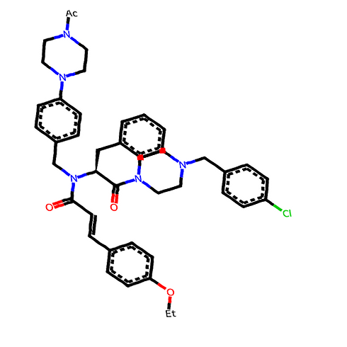 CCOc1ccc(C=CC(=O)N(Cc2ccc(N3CCN(C(C)=O)CC3)cc2)[C@@H](Cc2ccccc2)C(=O)N2CCN(Cc3ccc(Cl)cc3)CC2)cc1